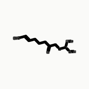 COP(OC)OCC(=O)CCC/C=C/C=O